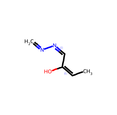 C=N/N=C\C(O)=C/C